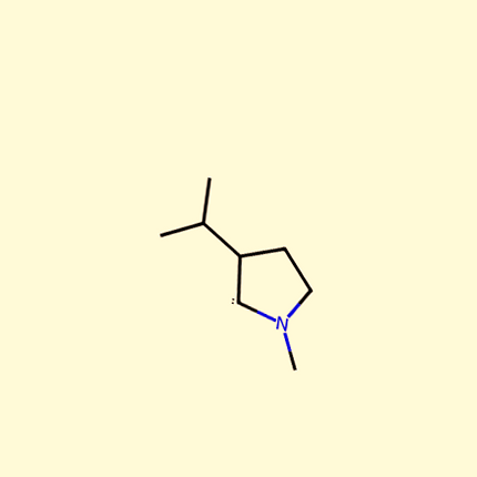 CC(C)C1[C]N(C)CC1